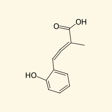 CC(=C=Cc1ccccc1O)C(=O)O